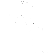 COc1cccc(-c2nc(-c3ccc(-c4cccc([N+](=O)[O-])c4)cc3O)oc2NC(=O)c2ccccc2)c1